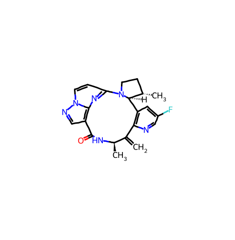 C=C1c2ncc(F)cc2[C@@H]2[C@@H](C)CCN2c2ccn3ncc(c3n2)C(=O)N[C@@H]1C